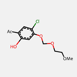 COCCOCOc1cc(O)c(C(C)=O)cc1Cl